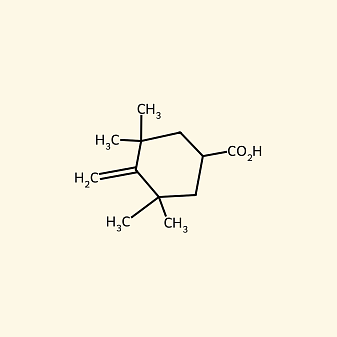 C=C1C(C)(C)CC(C(=O)O)CC1(C)C